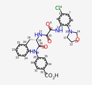 O=C(Nc1cc(Cl)ccc1N1CCOC1)C(=O)N[C@@H](Cc1ccccc1)C(=O)Nc1ccc(C(=O)O)cc1